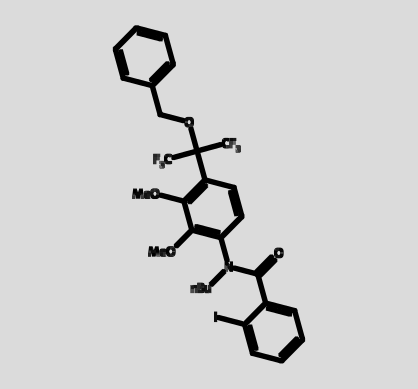 CCCCN(C(=O)c1ccccc1I)c1ccc(C(OCc2ccccc2)(C(F)(F)F)C(F)(F)F)c(OC)c1OC